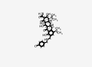 CN(C)c1cc(CNCc2ccc(Cl)cc2)c(O)c2c1C[C@H]1C[C@H]3[C@@H](N(C)C)C(O)=C(C(N)=O)C(=O)[C@@]3(O)C(O)=C1C2=O